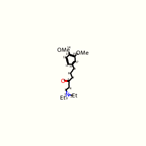 CCN(CC)CCC(=O)CCCc1ccc(OC)c(OC)c1